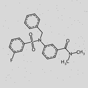 CN(C)C(=O)c1cccc(N(Cc2ccccc2)S(=O)(=O)c2cccc(F)c2)c1